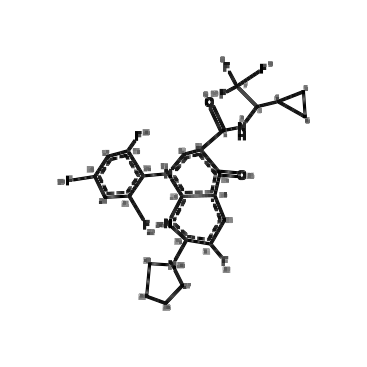 O=C(NC(C1CC1)C(F)(F)F)c1cn(-c2c(F)cc(F)cc2F)c2nc(N3CCCC3)c(F)cc2c1=O